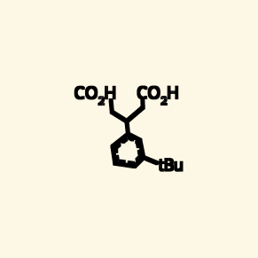 CC(C)(C)c1cccc(C(CC(=O)O)CC(=O)O)c1